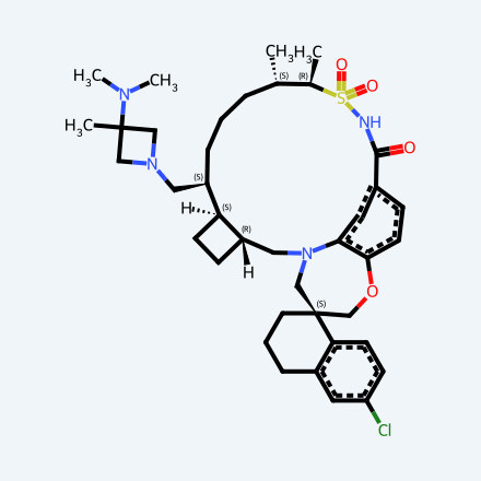 C[C@@H]1[C@@H](C)CCC[C@H](CN2CC(C)(N(C)C)C2)[C@@H]2CC[C@H]2CN2C[C@@]3(CCCc4cc(Cl)ccc43)COc3ccc(cc32)C(=O)NS1(=O)=O